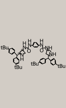 CC(C)(C)c1ccc(C(c2ccc(C(C)(C)C)cc2)[C@H]2C[C@@H](NC(=O)Nc3ccc(NC(=O)N[C@H]4CN[C@@H](C(c5ccc(C(C)(C)C)cc5)c5ccc(C(C)(C)C)cc5)C4)cc3)CN2)cc1